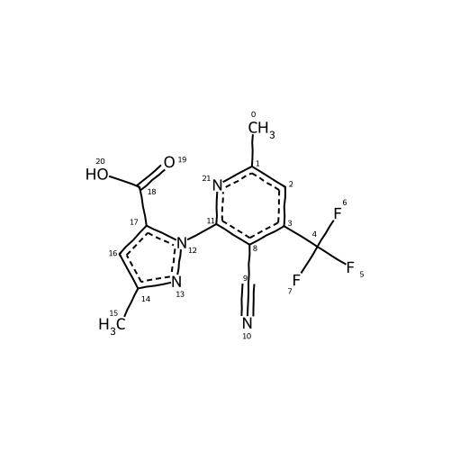 Cc1cc(C(F)(F)F)c(C#N)c(-n2nc(C)cc2C(=O)O)n1